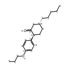 CCCCC[C@@H]1CC[C@@H](c2ccc(OCCC)cc2)C(=O)C1